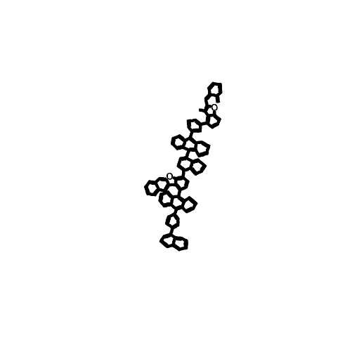 C=c1cccc/c1=C/c1oc2cccc(-c3cccc(-c4c5ccccc5c(-c5ccc(-c6ccc(-c7c8ccccc8c(-c8ccc(-c9cccc%10ccccc9%10)cc8)c8ccccc78)c7c6oc6cc8ccccc8cc67)c6ccccc56)c5ccccc45)c3)c2c1C